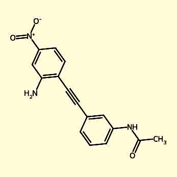 CC(=O)Nc1cccc(C#Cc2ccc([N+](=O)[O-])cc2N)c1